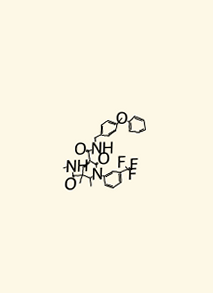 CNC(=O)C1(C)C=C(C(=O)NCc2ccc(Oc3ccccc3)cc2)C(=O)N(c2cccc(C(F)(F)F)c2)C1C